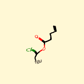 C=CCCC(=O)OC(Cl)CCCC